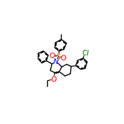 CCOC1=C2CCC(c3cccc(Cl)c3)CC2N(S(=O)(=O)c2ccc(C)cc2)C(c2ccccc2)C1